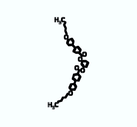 CCCCCCOc1ccc(-c2ccc(C(=O)Oc3cccc(OC(=O)c4ccc(-c5ccc(OCCCCCC)cc5)cc4)c3)cc2)cc1